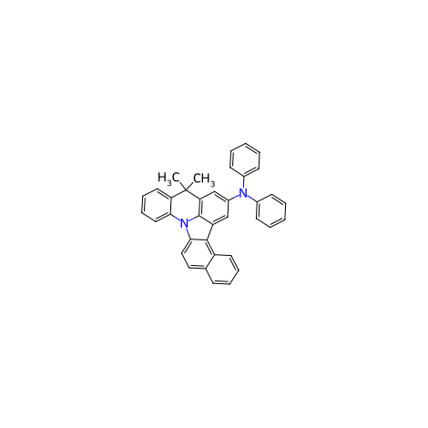 CC1(C)c2ccccc2-n2c3ccc4ccccc4c3c3cc(N(c4ccccc4)c4ccccc4)cc1c32